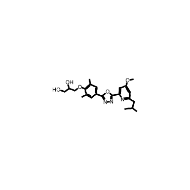 COc1cc(CC(C)C)nc(-c2nnc(-c3cc(C)c(OCC(O)CO)c(C)c3)o2)c1